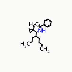 C=CCCC(CCC)[C@@H](N[C@H](C)c1ccccc1)C1(C)CC1